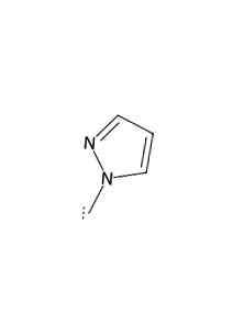 [C]n1cccn1